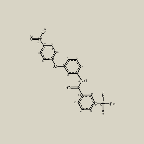 O=C(Nc1cccc(Oc2ccc([N+](=O)[O-])cc2)c1)c1cccc(C(F)(F)F)c1